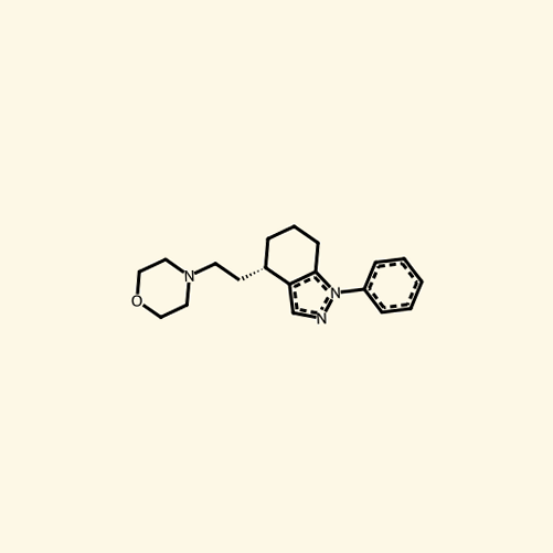 c1ccc(-n2ncc3c2CCC[C@H]3CCN2CCOCC2)cc1